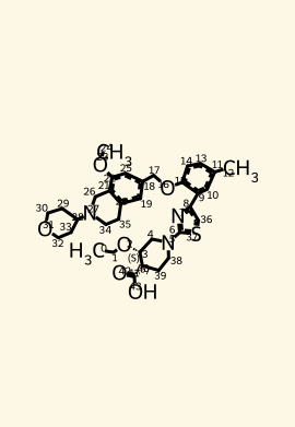 CCO[C@@H]1CN(c2nc(-c3cc(C)ccc3OCc3cc4c(c(OC)c3)CN(C3CCOCC3)CC4)cs2)CC[C@@H]1C(=O)O